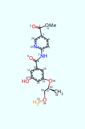 COC(=O)c1ccc(NC(=O)c2cc(O)cc(O[C@@H](C)COP)c2)nc1